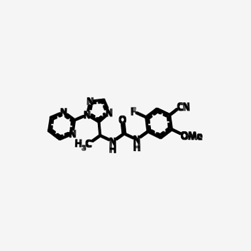 COc1cc(NC(=O)NC(C)c2ncnn2-c2ncccn2)c(F)cc1C#N